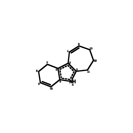 C1=Cc2c([nH]c3c2CCC=C3)CCC1